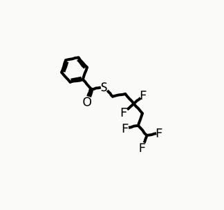 O=C(SCCC(F)(F)CC(F)C(F)F)c1ccccc1